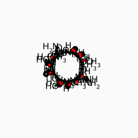 CCCC[C@H]1C(=O)N(C)CC(=O)N[C@@H](CCCNC(=N)N)C(=O)N[C@@H](C(C)C)C(=O)N(C)[C@@H](Cc2ccccc2)C(=O)N[C@@H](Cc2ccc(O)cc2)C(=O)N(C)CC(=O)N[C@@H](Cc2c[nH]c3ccccc23)C(=O)N[C@@H](Cc2ccc(O)cc2)C(=O)N[C@@H](CC(C)C)C(=O)N[C@H](C(=O)NCC(N)=O)CSCC(=O)N[C@@H](Cc2ccccc2)C(=O)N(C)[C@@H](Cc2ccccc2)C(=O)N1C